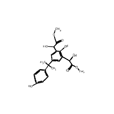 COC(=O)C(O)c1cc(C(C)(C)c2ccc(O)cc2)cc(C(O)C(=O)OC)c1O